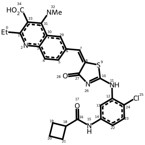 CCc1nc2ccc(C=C3SC(Nc4cc(NC(=O)C5CCC5)ccc4Cl)=NC3=O)cc2c(NC)c1C(=O)O